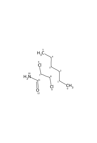 CCCCCC.ClCCCl.NC=O